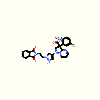 COc1ccc(Cl)cc1C1(C(N)=O)CN(C2=CNN(CCN3C(=O)c4ccccc4C3=O)C2)N2C=CC=NC21